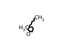 C=CCCCCC1(C)CCCC(=O)C1